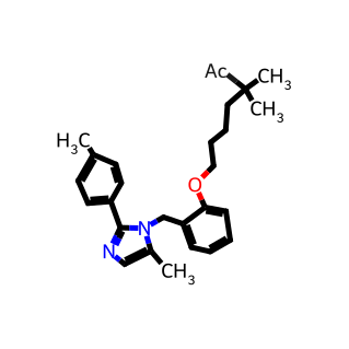 CC(=O)C(C)(C)CCCCOc1ccccc1Cn1c(C)cnc1-c1ccc(C)cc1